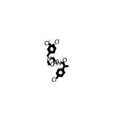 CC(C(=O)NCC1CN(Cc2ccc(Cl)c(Cl)c2)CCO1)c1ccc(Cl)cc1